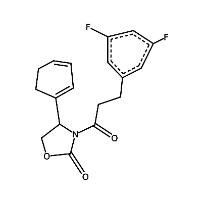 O=C(CCc1cc(F)cc(F)c1)N1C(=O)OCC1C1=CC=CCC1